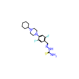 NC(=S)NN=Cc1cc(F)c(N2CCN(C3CCCCC3)CC2)cc1F